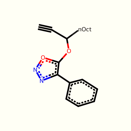 C#CC(CCCCCCCC)Oc1onnc1-c1ccccc1